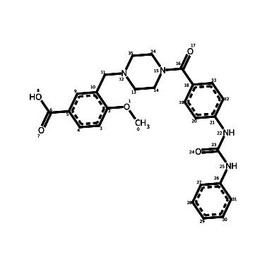 COc1ccc(C(=O)O)cc1CN1CCN(C(=O)c2ccc(NC(=O)Nc3ccccc3)cc2)CC1